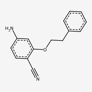 N#Cc1ccc(N)cc1OCCc1ccccc1